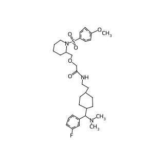 COc1ccc(S(=O)(=O)N2CCCCC2COCC(=O)NCCC2CCC(C(c3cccc(F)c3)N(C)C)CC2)cc1